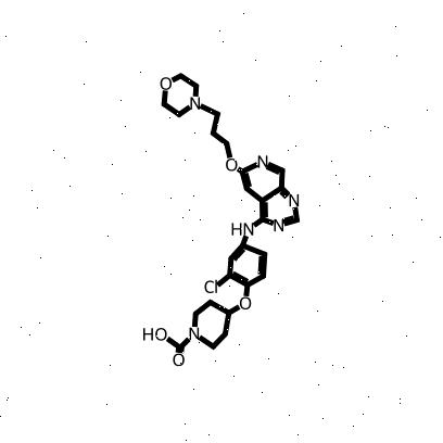 O=C(O)N1CCC(Oc2ccc(Nc3ncnc4cnc(OCCCN5CCOCC5)cc34)cc2Cl)CC1